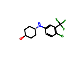 [O][C@H]1CC[C@H](Nc2ccc(Cl)c(C(F)(F)F)c2)CC1